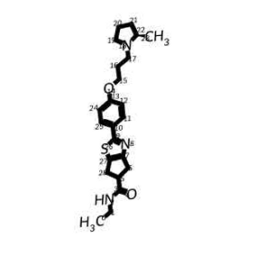 CCNC(=O)C1Cc2nc(-c3ccc(OCCCN4CCC[C@H]4C)cc3)sc2C1